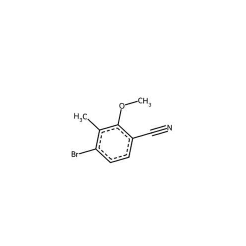 COc1c(C#N)ccc(Br)c1C